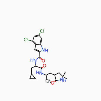 CC1(C)CC(CC(C#N)NC(=O)C(CC2CC2)NC(=O)c2cc3c(Cl)cc(Cl)cc3[nH]2)C(=O)N1